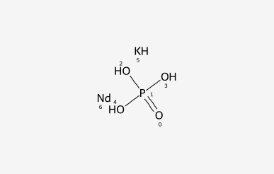 O=P(O)(O)O.[KH].[Nd]